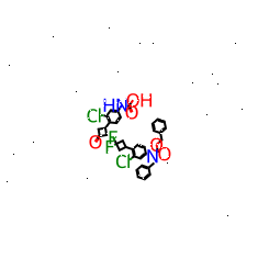 O=C(OCc1ccccc1)N(Cc1ccccc1)c1ccc(C2CC(F)(F)C2)c(Cl)c1.O=C1CC(c2ccc(NC(=O)O)cc2Cl)C1